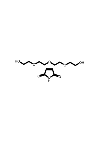 O=C1C=CC(=O)N1.OCCOCCOCCOCCO